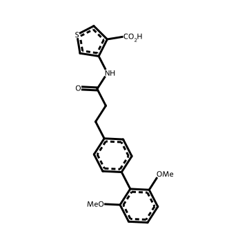 COc1cccc(OC)c1-c1ccc(CCC(=O)Nc2cscc2C(=O)O)cc1